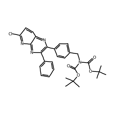 CC(C)(C)OC(=O)N(Cc1ccc(-c2nc3ccc(Cl)nc3nc2-c2ccccc2)cc1)C(=O)OC(C)(C)C